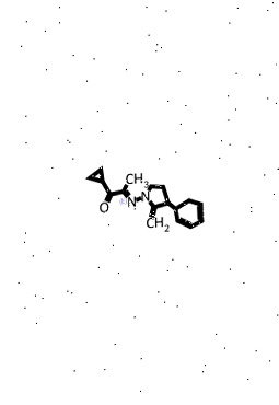 C=C1C(C2C=CC=CC2)CCN1/N=C(\C)C(=O)C1CC1